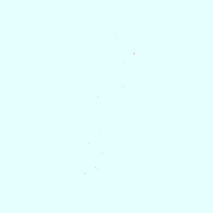 CC(=O)Nc1ccc(OCC(O)CN2CCC(O)(c3ccc(Cl)cc3)CC2)cc1